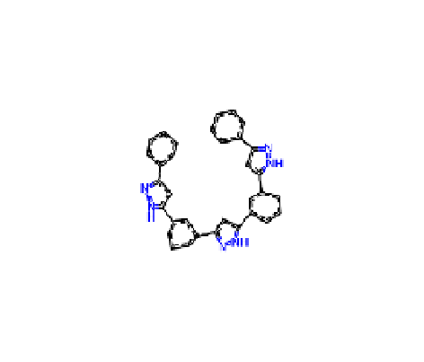 c1ccc(-c2cc(-c3cccc(-c4cc(-c5cccc(-c6cc(-c7ccccc7)n[nH]6)c5)[nH]n4)c3)[nH]n2)cc1